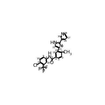 Cc1ccc(C(=O)Nc2ccc(Cl)c(C(F)(F)F)c2)cc1-c1c[nH]c(-c2cccnc2)n1